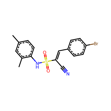 Cc1ccc(NS(=O)(=O)C(C#N)=Cc2ccc(Br)cc2)c(C)c1